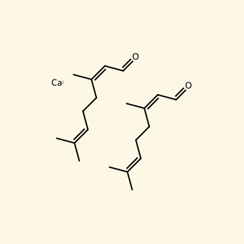 CC(C)=CCC/C(C)=C\C=O.CC(C)=CCC/C(C)=C\C=O.[Ca]